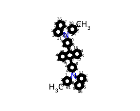 Cc1ccc(N(c2ccc(-c3c4ccccc4c(-c4ccc(N(c5ccc(C)cc5)c5cccc6ccccc56)cc4)c4ccccc34)cc2)c2cccc3ccccc23)cc1